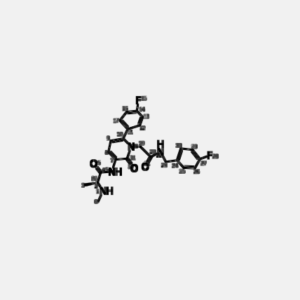 CN[C@@H](C)C(=O)Nc1ccc(-c2ccc(F)cc2)n(CC(=O)NCc2ccc(F)cc2)c1=O